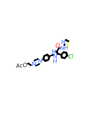 CC(=O)OCCN1CCN(c2ccc(-c3nc(C(=O)Nc4nccs4)c(-c4ccc(Cl)cc4)[nH]3)cc2)CC1